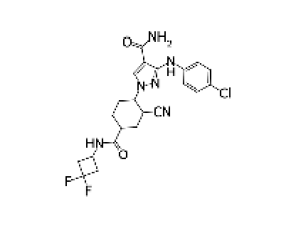 N#CC1CC(C(=O)NC2CC(F)(F)C2)CCC1n1cc(C(N)=O)c(Nc2ccc(Cl)cc2)n1